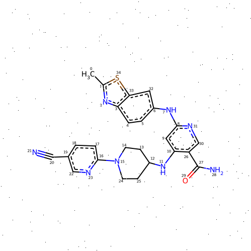 Cc1nc2ccc(Nc3cc(NC4CCN(c5ccc(C#N)cn5)CC4)c(C(N)=O)cn3)cc2s1